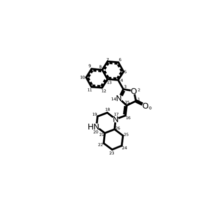 O=C1OC(c2cccc3ccccc23)=NC1=CN1CCNC2CCCCC21